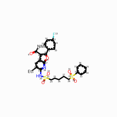 CCc1cc2c(C(=O)NC)c(-c3ccc(F)cc3)oc2nc1NS(=O)(=O)CCCCCS(=O)(=O)c1ccccc1